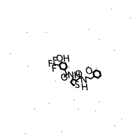 COc1ccccc1CCNC(=O)c1sccc1NC(=O)c1ccc(O)c(C(F)(F)F)c1